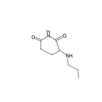 CCCNC1CCC(=O)NC1=O